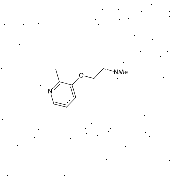 CNCCOc1cccnc1C